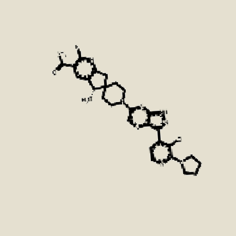 NC(=O)c1cc2c(nc1F)CC1(CCN(c3cnc4c(-c5ccnc(N6CCCC6)c5Cl)n[nH]c4n3)CC1)[C@@H]2N